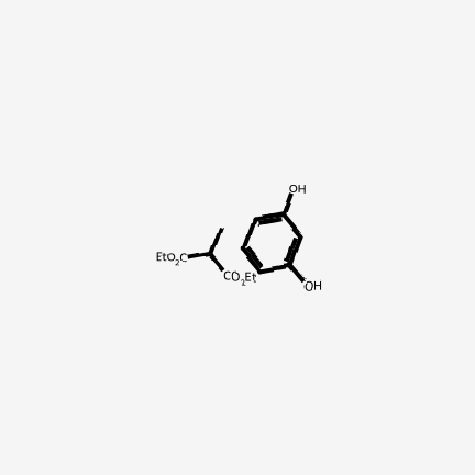 CCOC(=O)C(C)C(=O)OCC.Oc1cccc(O)c1